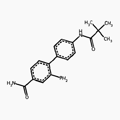 CC(C)(C)C(=O)Nc1ccc(-c2ccc(C(N)=O)cc2P)cc1